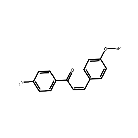 CCCOc1ccc(/C=C\C(=O)c2ccc(N)cc2)cc1